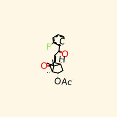 CC(=O)O[C@H]1C[C@@H]2C(=CC(=O)c3ccccc3F)C(=O)[C@@]1(C)C2(C)C